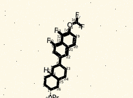 CCC[C@@H]1CC[C@@H]2CC(c3cc(F)c4c(F)c(OC(F)F)ccc4c3)CCC2C1